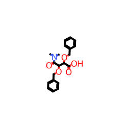 CN(C)C(=O)C(OCc1ccccc1)C(OCc1ccccc1)C(=O)O